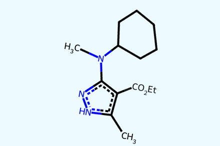 CCOC(=O)c1c(N(C)C2CCCCC2)n[nH]c1C